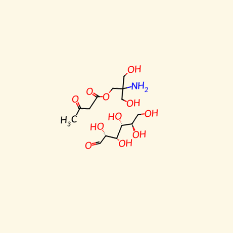 CC(=O)CC(=O)OCC(N)(CO)CO.O=C[C@H](O)[C@@H](O)[C@H](O)[C@H](O)CO